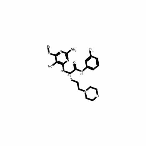 CCOc1nc(N)nc(N[C@@H](CCCN2CCOCC2)C(=O)Nc2cccc(C(F)(F)F)c2)c1C#N